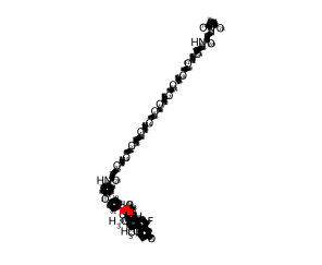 C[C@]12C=CC(=O)C=C1[C@@H](F)C[C@H]1[C@@H]3C[C@H]4O[C@@H](c5ccc(Oc6ccc(NC(=O)CCOCCOCCOCCCOCCOCCOCOCCOCCOCCOCCOCCOCCNC(=O)CCN7C(=O)C=CC7=O)cc6)cc5)O[C@@]4(C(=O)CO)[C@@]3(C)C[C@H](O)[C@@]12F